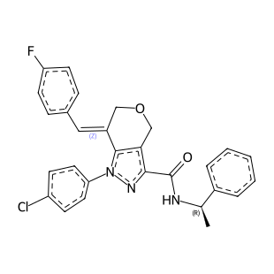 C[C@@H](NC(=O)c1nn(-c2ccc(Cl)cc2)c2c1COC/C2=C\c1ccc(F)cc1)c1ccccc1